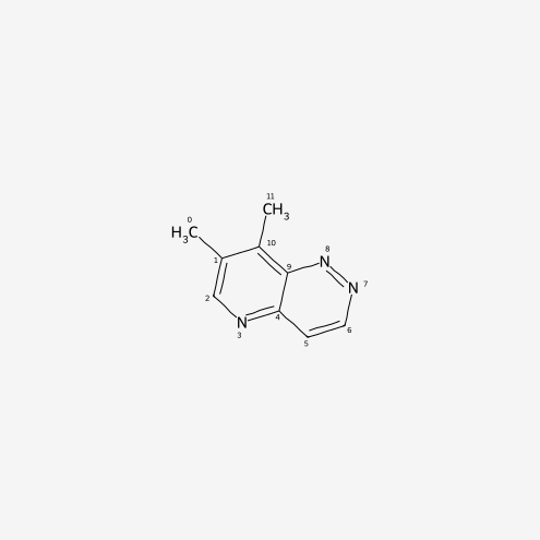 Cc1cnc2ccnnc2c1C